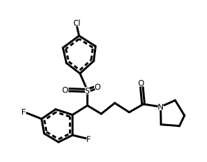 O=C(CCCC(c1cc(F)ccc1F)S(=O)(=O)c1ccc(Cl)cc1)N1CCCC1